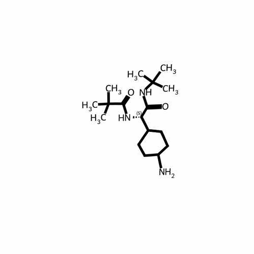 CC(C)(C)NC(=O)[C@@H](NC(=O)C(C)(C)C)C1CCC(N)CC1